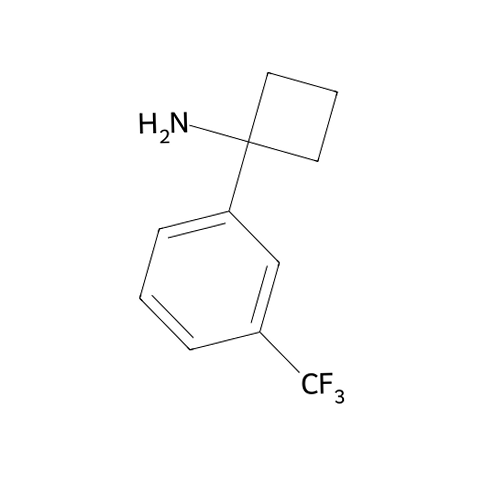 NC1(c2cccc(C(F)(F)F)c2)CCC1